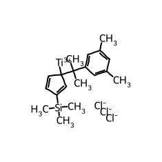 Cc1cc(C)cc(C(C)(C)[C]2([Ti+3])C=CC([Si](C)(C)C)=C2)c1.[Cl-].[Cl-].[Cl-]